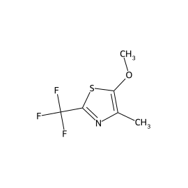 COc1sc(C(F)(F)F)nc1C